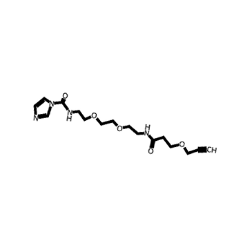 C#CCOCCC(=O)NCCOCCOCCNC(=O)n1ccnc1